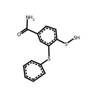 NC(=O)c1ccc(SS)c(Sc2ccccc2)c1